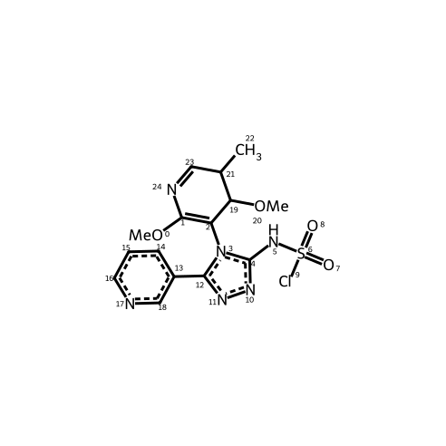 COC1=C(n2c(NS(=O)(=O)Cl)nnc2-c2cccnc2)C(OC)C(C)C=N1